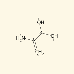 C=C(N)[C](O)O